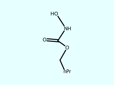 CCCCOC(=O)NO